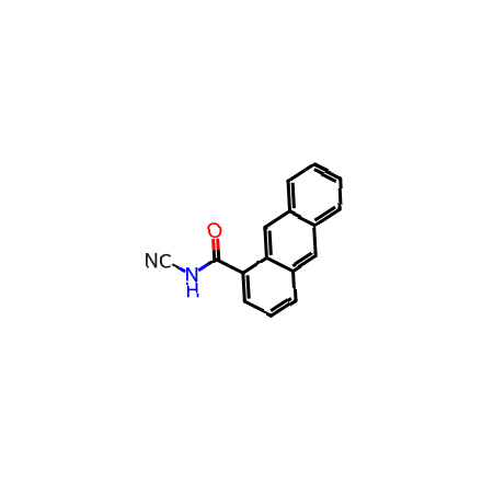 N#CNC(=O)c1cccc2cc3ccccc3cc12